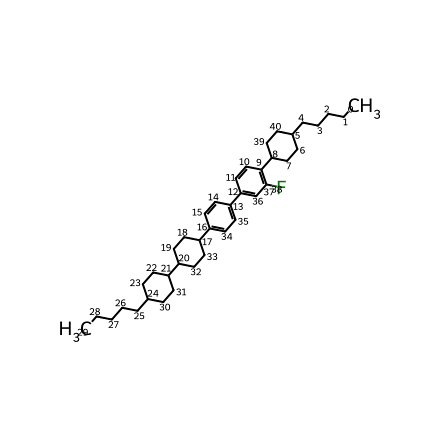 CCCCCC1CCC(c2ccc(-c3ccc(C4CCC(C5CCC(CCCCC)CC5)CC4)cc3)cc2F)CC1